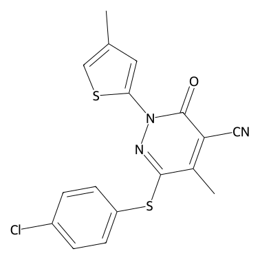 Cc1csc(-n2nc(Sc3ccc(Cl)cc3)c(C)c(C#N)c2=O)c1